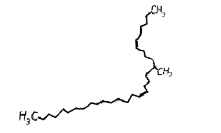 [CH2]C(CCC/C=C\CCCCC)CCC/C=C\CCCCCCCCCCCCCCC